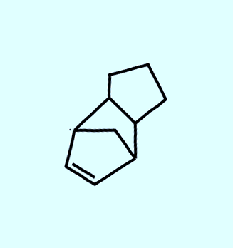 C1=CC2C[C]1C1CCCC21